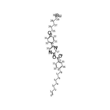 C=CCCCCCCCc1ccc(C(=O)Oc2cnc(-c3ccc(OCCCCCC(C)CC)cc3)cn2)cc1